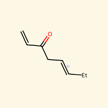 C=CC(=O)C/C=C/CC